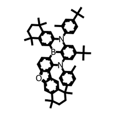 Cc1cc(C(C)(C)C)ccc1N1c2cc3c(cc2B2c4ccc5oc6cc7c(cc6c5c4N(c4ccccc4C)c4cc(C(C)(C)C)cc1c42)C(C)(C)CCC7(C)C)C(C)(C)CCC3(C)C